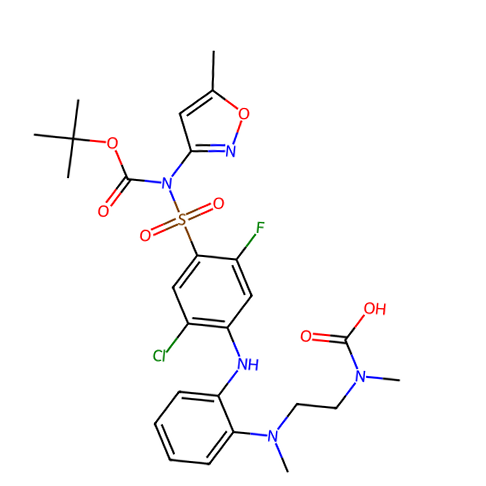 Cc1cc(N(C(=O)OC(C)(C)C)S(=O)(=O)c2cc(Cl)c(Nc3ccccc3N(C)CCN(C)C(=O)O)cc2F)no1